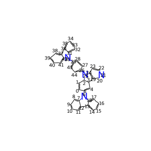 C1=CC2C(C=C1n1c3ccccc3c3ccccc31)c1cnccc1N2c1ccc(-n2c3ccccc3c3ccccc32)cc1